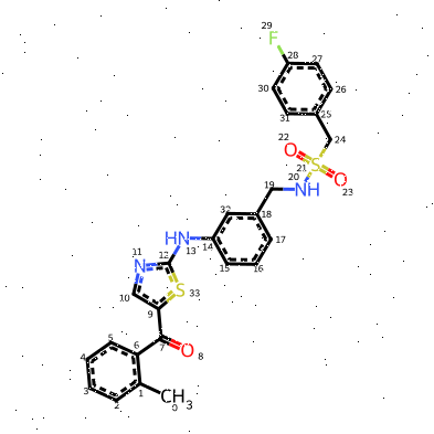 Cc1ccccc1C(=O)c1cnc(Nc2cccc(CNS(=O)(=O)Cc3ccc(F)cc3)c2)s1